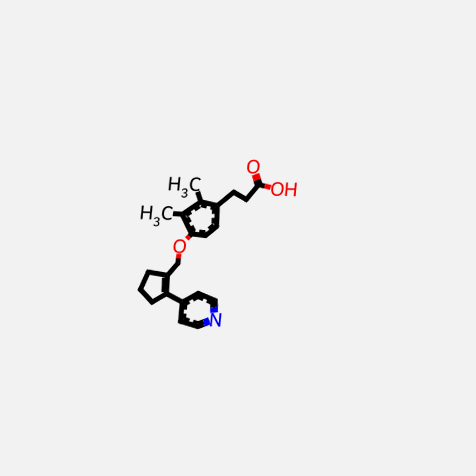 Cc1c(CCC(=O)O)ccc(OCC2=C(c3ccncc3)CCC2)c1C